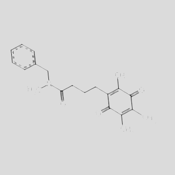 CC1=C(C)C(=O)C(CCCC(=O)N(C)Cc2ccccc2)=C(C)C1=O